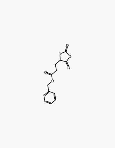 O=C(CCC1OC(=O)OC1=O)OCc1ccccc1